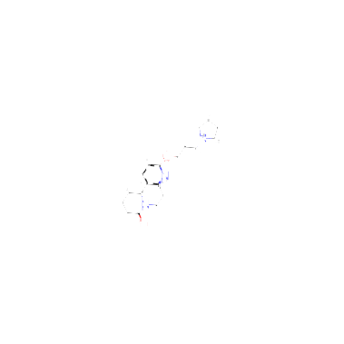 O=C1CCCC2c3ccc(OCCCN4CCCC4)nc3CCN12